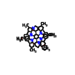 Cc1ccc2c(c1)c1cc(C)ccc1n2-c1c(-c2cccnc2)c(-n2c3ccc(C)cc3c3cc(C)ccc32)c(-n2c3ccc(C)cc3c3cc(C)ccc32)c(-c2cccc(-c3ccccc3)n2)c1-n1c2ccc(C)cc2c2cc(C)ccc21